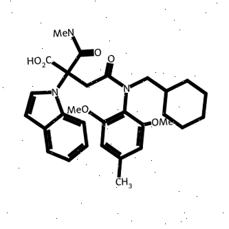 CNC(=O)C(CC(=O)N(CC1CCCCC1)c1c(OC)cc(C)cc1OC)(C(=O)O)n1ccc2ccccc21